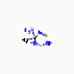 CC1(N)N=CNCN1